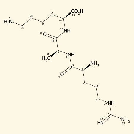 C[C@H](NC(=O)[C@@H](N)CCCNC(=N)N)C(=O)N[C@@H](CCCCN)C(=O)O